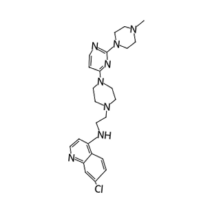 CN1CCN(c2nccc(N3CCN(CCNc4ccnc5cc(Cl)ccc45)CC3)n2)CC1